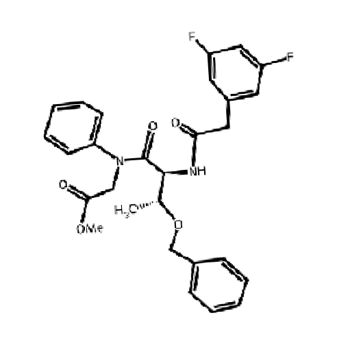 COC(=O)CN(C(=O)[C@@H](NC(=O)Cc1cc(F)cc(F)c1)[C@@H](C)OCc1ccccc1)c1ccccc1